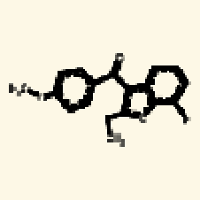 CCc1oc2c(F)cccc2c1C(=O)c1ccc(OC)cc1